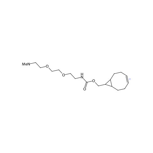 CNCCOCCOCCNC(=O)OCC1C2CC/C=C\CCC21